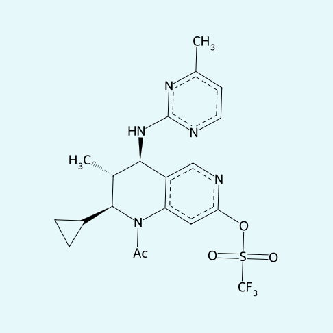 CC(=O)N1c2cc(OS(=O)(=O)C(F)(F)F)ncc2[C@H](Nc2nccc(C)n2)[C@@H](C)[C@@H]1C1CC1